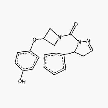 O=C(N1CC(Oc2ccc(O)cc2)C1)N1N=CCC1c1ccccc1